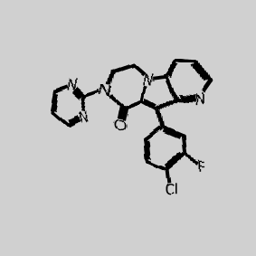 O=C1c2c(-c3ccc(Cl)c(F)c3)c3ncccc3n2CCN1c1ncccn1